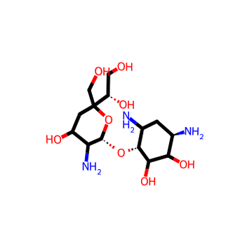 NC1C(O)CC(CO)([C@@H](O)CO)O[C@@H]1O[C@@H]1C(N)C[C@@H](N)C(O)C1O